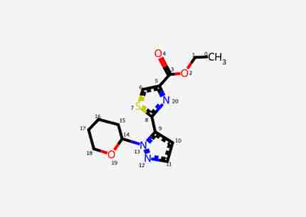 CCOC(=O)c1csc(-c2ccnn2C2CCCCO2)n1